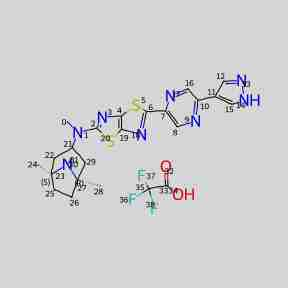 CN(c1nc2sc(-c3cnc(-c4cn[nH]c4)cn3)nc2s1)C1C[C@]2(C)CC[C@](C)(C1)N2C.O=C(O)C(F)(F)F